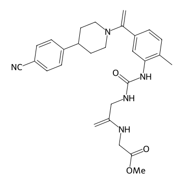 C=C(CNC(=O)Nc1cc(C(=C)N2CCC(c3ccc(C#N)cc3)CC2)ccc1C)NCC(=O)OC